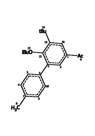 CC(=O)c1cc(-c2ccc(C)cc2)c(OCC(C)C)c(C(C)(C)C)c1